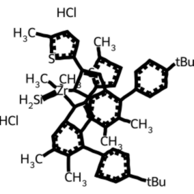 Cc1ccc(C2=Cc3c(cc(C)c(C)c3-c3ccc(C(C)(C)C)cc3)[CH]2[Zr]([CH3])([CH3])(=[SiH2])[CH]2C(c3ccc(C)s3)=Cc3c2cc(C)c(C)c3-c2ccc(C(C)(C)C)cc2)s1.Cl.Cl